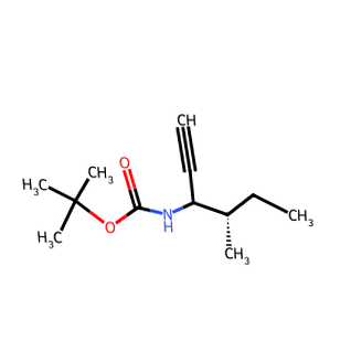 C#CC(NC(=O)OC(C)(C)C)[C@@H](C)CC